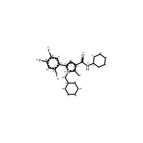 Cc1c(C(=O)NC2CCCCC2)cc(-c2cc(F)c(F)cc2F)n1CC1CCCCC1